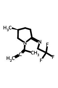 C=C=C(C)N1C[C@@H](C)CC/C1=N/CC(F)(F)F